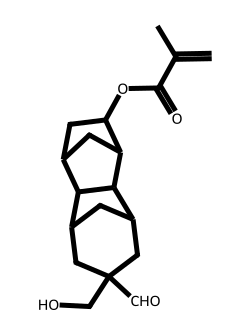 C=C(C)C(=O)OC1CC2CC1C1C3CC(CC(C=O)(CO)C3)C21